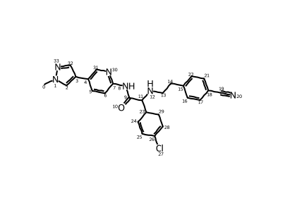 Cn1cc(-c2ccc(NC(=O)C(NCCc3ccc(C#N)cc3)C3C=CC(Cl)=CC3)nc2)cn1